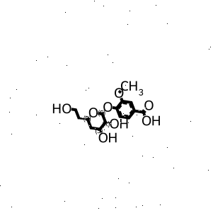 COc1cc(C(=O)O)ccc1O[C@@H]1O[C@H](CCO)C[C@H](O)[C@H]1O